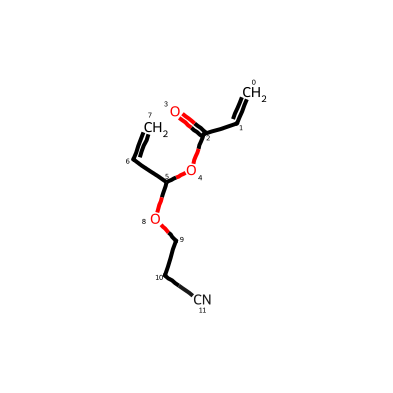 C=CC(=O)OC(C=C)OCCC#N